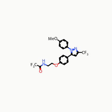 COc1ccc(-n2nc(C(F)(F)F)cc2-c2ccc(OCCNC(=O)C(F)(F)F)cc2)cc1